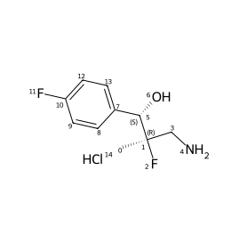 C[C@@](F)(CN)[C@@H](O)c1ccc(F)cc1.Cl